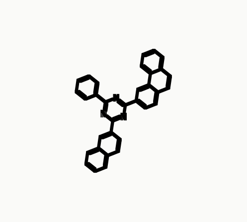 c1ccc(-c2nc(-c3ccc4ccccc4c3)nc(-c3ccc4ccc5ccccc5c4c3)n2)cc1